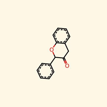 O=C1Cc2ccccc2OC1c1ccccc1